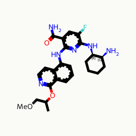 COCC(C)Oc1nccc2c(Nc3nc(N[C@@H]4CCCC[C@@H]4N)c(F)cc3C(N)=O)cccc12